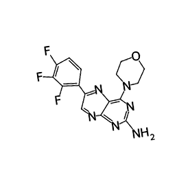 Nc1nc(N2CCOCC2)c2nc(-c3ccc(F)c(F)c3F)cnc2n1